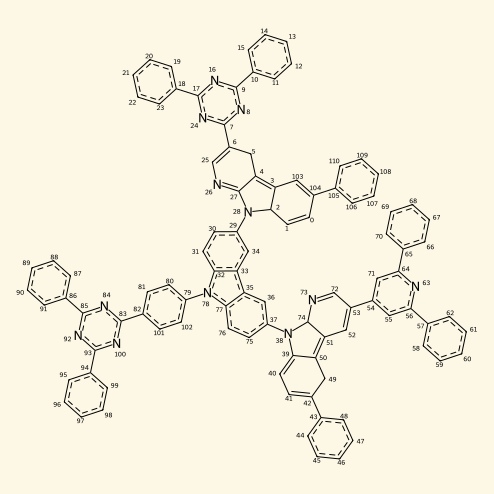 C1=CC2C(=C3CC(c4nc(-c5ccccc5)nc(-c5ccccc5)n4)=CN=C3N2c2ccc3c(c2)c2cc(N4C5=CC=C(c6ccccc6)CC5=C5C=C(c6cc(-c7ccccc7)nc(-c7ccccc7)c6)C=NC54)ccc2n3-c2ccc(-c3nc(-c4ccccc4)nc(-c4ccccc4)n3)cc2)C=C1c1ccccc1